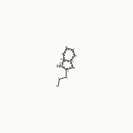 [CH2]CCc1cc2ccccc2[nH]1